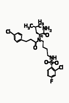 CC(C)C[C@@H](C(N)=O)N(CCCCNS(=O)(=O)c1ccc(F)cc1Cl)C(=O)CCc1ccc(Cl)cc1